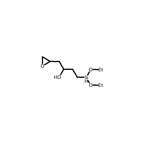 CCO[SiH](CCC(O)CC1CO1)OCC